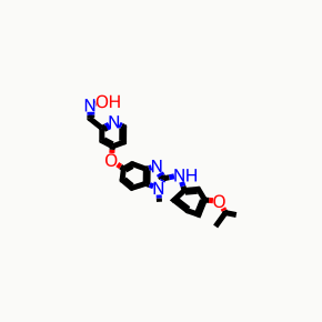 CC(C)Oc1cccc(Nc2nc3cc(Oc4ccnc(/C=N\O)c4)ccc3n2C)c1